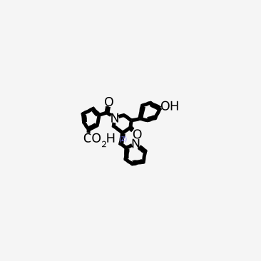 O=C(O)c1cccc(C(=O)N2C/C(=C/c3ccccn3)C(=O)C(c3ccc(O)cc3)C2)c1